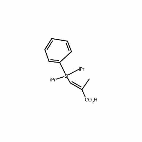 CC(=C[Si](c1ccccc1)(C(C)C)C(C)C)C(=O)O